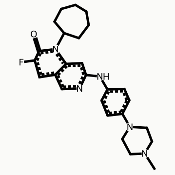 CN1CCN(c2ccc(Nc3cc4c(cn3)cc(F)c(=O)n4C3CCCCCC3)cc2)CC1